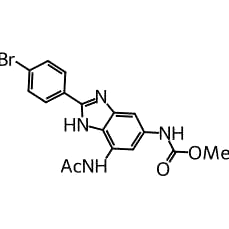 COC(=O)Nc1cc(NC(C)=O)c2[nH]c(-c3ccc(Br)cc3)nc2c1